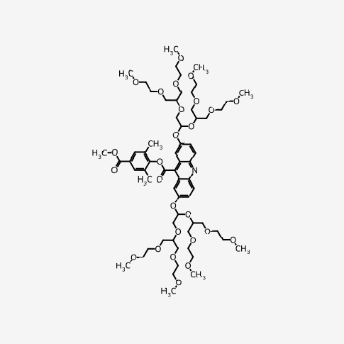 COCCOCC(COCCOC)OCC(Oc1ccc2nc3ccc(OC(COC(COCCOC)COCCOC)OC(COCCOC)COCCOC)cc3c(C(=O)Oc3c(C)cc(C(=O)OC)cc3C)c2c1)OC(COCCOC)COCCOC